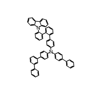 c1ccc(-c2ccc(N(c3ccc(-c4cccc(-c5ccccc5)c4)cc3)c3ccc(-c4ccccc4-c4ccccc4-n4c5ccccc5c5ccccc54)cc3)cc2)cc1